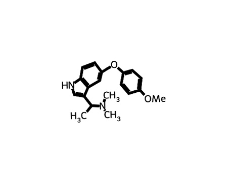 COc1ccc(Oc2ccc3[nH]cc(C(C)N(C)C)c3c2)cc1